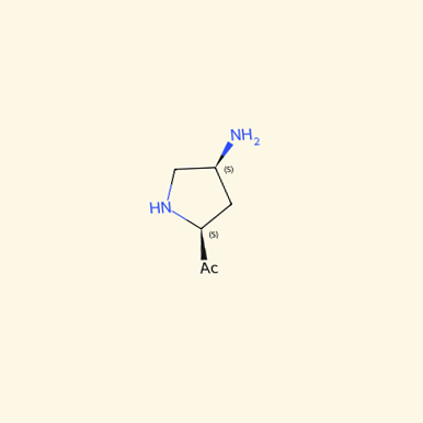 CC(=O)[C@@H]1C[C@H](N)CN1